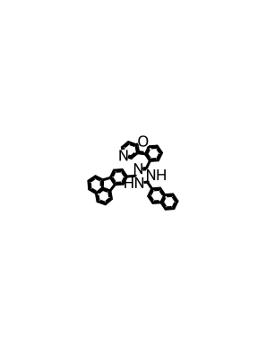 c1ccc2cc(C3NC(c4cccc5oc6ccncc6c45)=NC(c4ccc5c(c4)-c4cccc6cccc-5c46)N3)ccc2c1